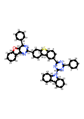 c1ccc(-c2nc(-c3ccc4sc5cc(-c6nc(-c7ccccc7)c7oc8ccccc8c7n6)ccc5c4c3)nc(-n3c4ccccc4c4ccccc43)n2)cc1